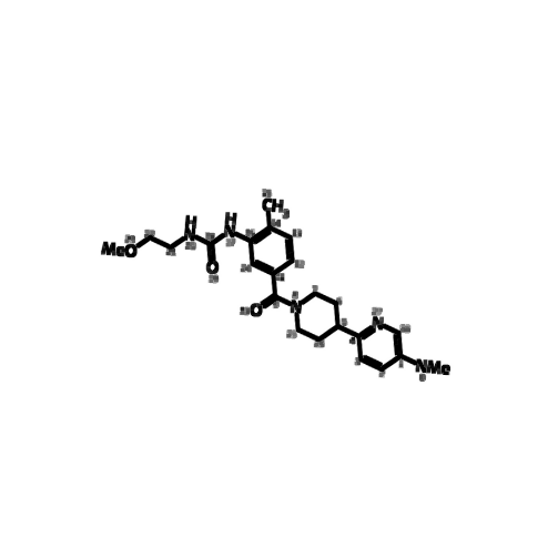 CNc1ccc(C2CCN(C(=O)c3ccc(C)c(NC(=O)NCCOC)c3)CC2)nc1